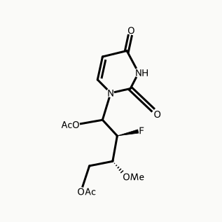 CO[C@H](COC(C)=O)[C@H](F)C(OC(C)=O)n1ccc(=O)[nH]c1=O